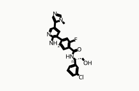 Cn1cncc1-c1cnc(N)c(-c2ccc(C(=O)N[C@H](CO)c3cccc(Cl)c3)c(F)c2)c1